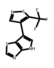 FC(F)(F)c1sncc1-c1c[nH]c2ncsc12